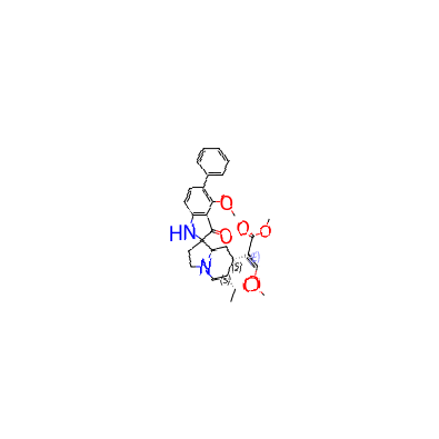 CC[C@@H]1CN2CCC3(Nc4ccc(-c5ccccc5)c(OC)c4C3=O)C2C[C@@H]1/C(=C\OC)C(=O)OC